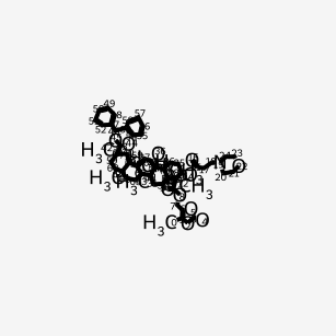 Cc1oc(=O)oc1COC(=O)[C@]1(C)[C@@H](OC(=O)CCN2CCOCC2)CC[C@@]2(C)[C@H]1CC[C@]1(C)[C@@H]2C(=O)C=C2[C@@H]3C[C@@](C)(C(=O)OC(c4ccccc4)c4ccccc4)CC[C@]3(C)CC[C@]21C